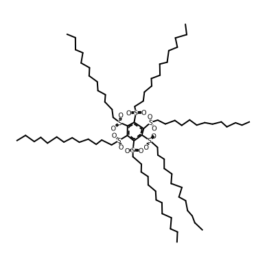 CCCCCCCCCCCCCS(=O)(=O)c1c(S(=O)(=O)CCCCCCCCCCCCC)c(S(=O)(=O)CCCCCCCCCCCCC)c(S(=O)(=O)CCCCCCCCCCCCC)c(S(=O)(=O)CCCCCCCCCCCCC)c1S(=O)(=O)CCCCCCCCCCCCC